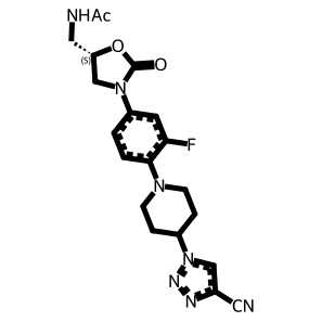 CC(=O)NC[C@H]1CN(c2ccc(N3CCC(n4cc(C#N)nn4)CC3)c(F)c2)C(=O)O1